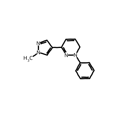 Cn1cc(C2=NN(c3ccccc3)CC=C2)cn1